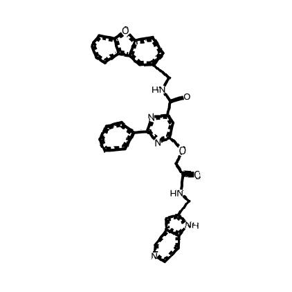 O=C(COc1cc(C(=O)NCc2ccc3oc4ccccc4c3c2)nc(-c2ccccc2)n1)NCc1cc2cnccc2[nH]1